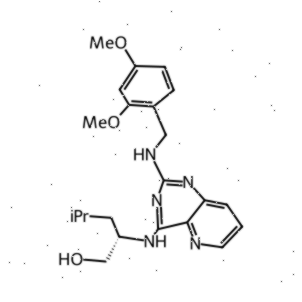 COc1ccc(CNc2nc(N[C@H](CO)CC(C)C)c3ncccc3n2)c(OC)c1